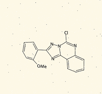 COc1ccccc1-c1nc2c3ccccc3nc(Cl)n2n1